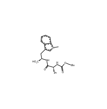 CC(C)[C@H](NC(=O)OC(C)(C)C)C(=O)N[C@H](Cc1cn(C)c2ccccc12)C(=O)O